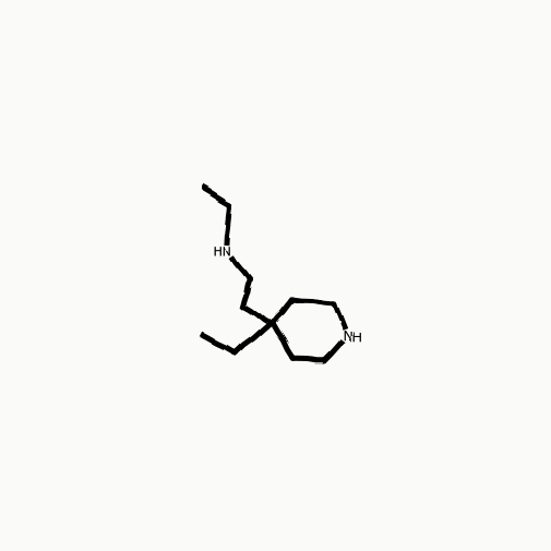 CCNCCC1(CC)CCNCC1